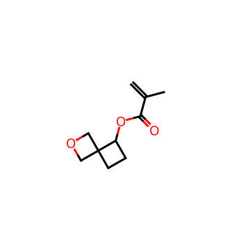 C=C(C)C(=O)OC1CCC12COC2